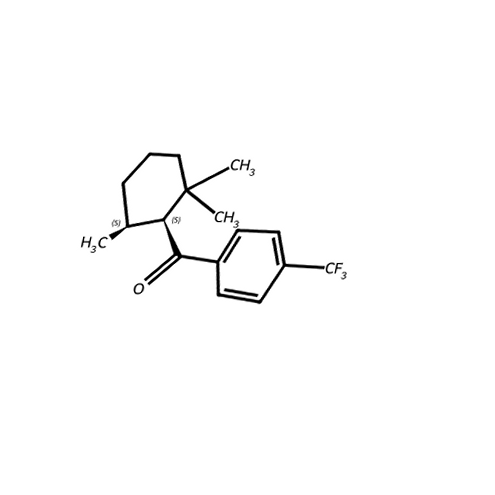 C[C@H]1CCCC(C)(C)[C@H]1C(=O)c1ccc(C(F)(F)F)cc1